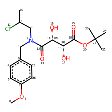 COc1ccc(CN(CC(C)Cl)C(=O)[C@H](O)[C@@H](O)C(=O)OC(C)(C)C)cc1